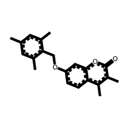 Cc1cc(C)c(COc2ccc3c(C)c(C)c(=O)oc3c2)c(C)c1